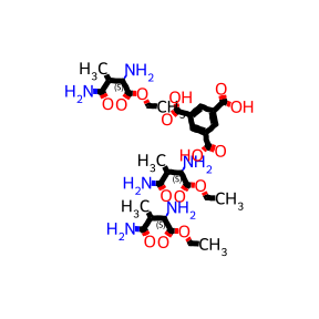 CCOC(=O)[C@@H](N)C(C)C(N)=O.CCOC(=O)[C@@H](N)C(C)C(N)=O.CCOC(=O)[C@@H](N)C(C)C(N)=O.O=C(O)c1cc(C(=O)O)cc(C(=O)O)c1